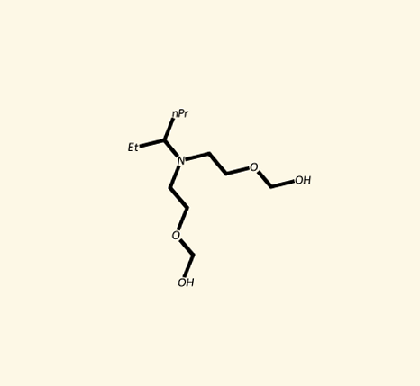 CCCC(CC)N(CCOCO)CCOCO